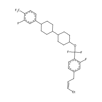 CC/C=C\Cc1ccc(C(F)(F)OC2CCC(C3CCC(c4ccc(C(F)(F)F)c(F)c4)CC3)CC2)c(F)c1